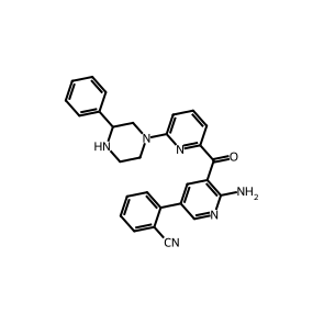 N#Cc1ccccc1-c1cnc(N)c(C(=O)c2cccc(N3CCNC(c4ccccc4)C3)n2)c1